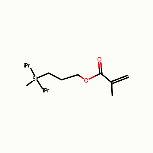 C=C(C)C(=O)OCCC[Si](C)(C(C)C)C(C)C